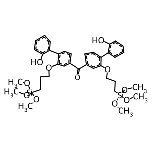 CO[Si](CCCOc1cc(C(=O)c2ccc(-c3ccccc3O)c(OCCC[Si](OC)(OC)OC)c2)ccc1-c1ccccc1O)(OC)OC